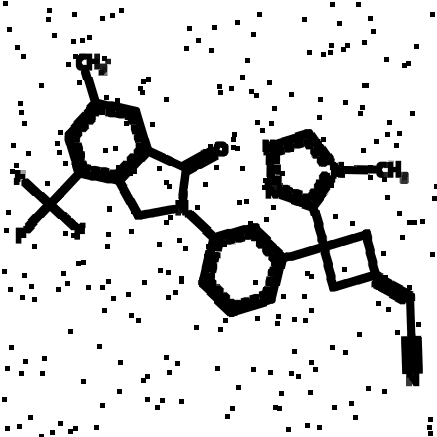 [CH2]c1cc2c(c(C(F)(F)F)c1)CN(c1cccc(C3(c4nncn4C)CC(=CC#N)C3)c1)C2=O